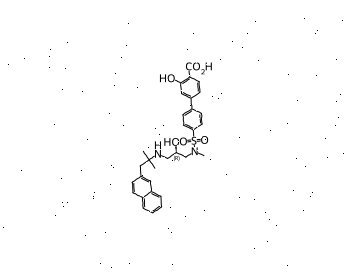 CN(C[C@H](O)CNC(C)(C)Cc1ccc2ccccc2c1)S(=O)(=O)c1ccc(-c2ccc(C(=O)O)c(O)c2)cc1